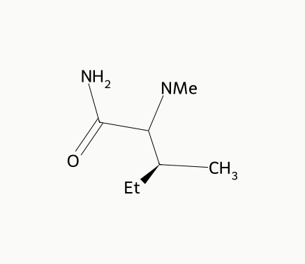 CC[C@H](C)C(NC)C(N)=O